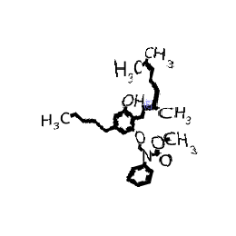 CCCCCc1cc(O)c(C/C=C(\C)CCC=C(C)C)c(OCN(C(=O)OC)c2ccccc2)c1